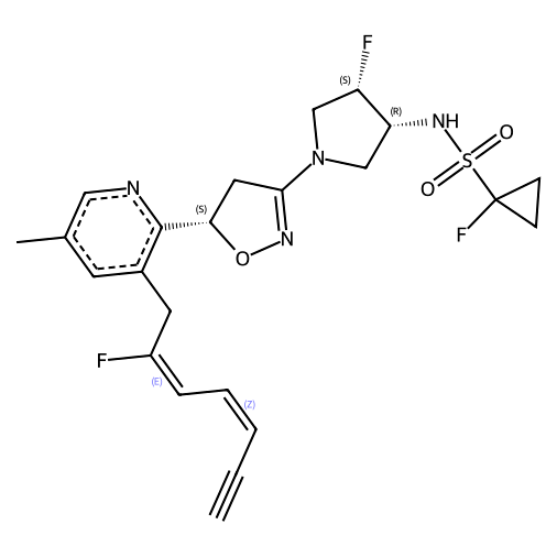 C#C/C=C\C=C(\F)Cc1cc(C)cnc1[C@@H]1CC(N2C[C@H](F)[C@H](NS(=O)(=O)C3(F)CC3)C2)=NO1